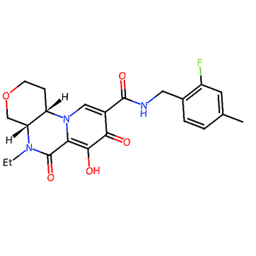 CCN1C(=O)c2c(O)c(=O)c(C(=O)NCc3ccc(C)cc3F)cn2[C@H]2CCOC[C@H]21